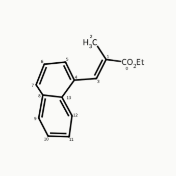 CCOC(=O)C(C)=Cc1cccc2ccccc12